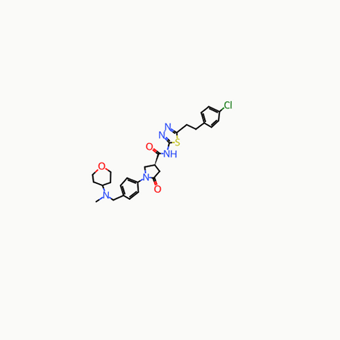 CN(Cc1ccc(N2C[C@@H](C(=O)Nc3nnc(CCc4ccc(Cl)cc4)s3)CC2=O)cc1)C1CCOCC1